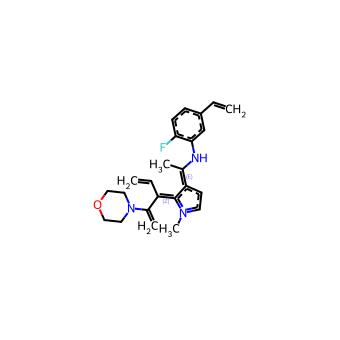 C=C/C(C(=C)N1CCOCC1)=c1\c(=C(/C)Nc2cc(C=C)ccc2F)ccn1C